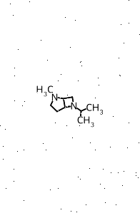 CC(C)N1CC2C1CCN2C